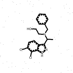 CC(c1n[nH]c2c(Cl)c(Cl)ccc12)N(CCO)Cc1ccccc1